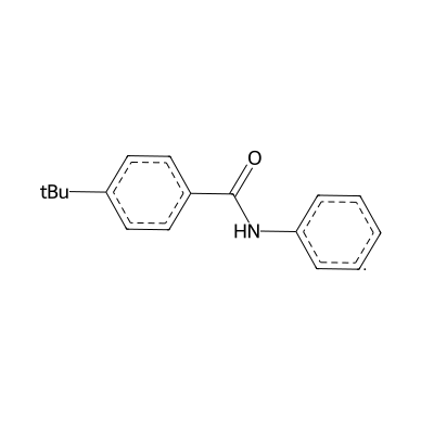 CC(C)(C)c1ccc(C(=O)Nc2c[c]ccc2)cc1